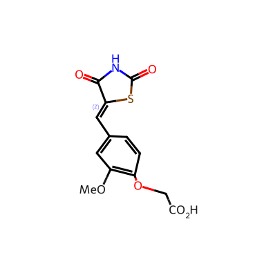 COc1cc(/C=C2\SC(=O)NC2=O)ccc1OCC(=O)O